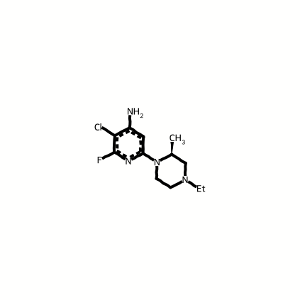 CCN1CCN(c2cc(N)c(Cl)c(F)n2)[C@@H](C)C1